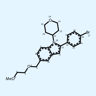 COCCOCc1ccc2c(c1)cc(-c1ccc(Br)cc1)n2C1CCOCC1